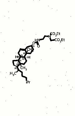 CCOC(=O)CN(CCNC(=O)O[C@H]1CC[C@@]2(C)C(=CC[C@H]3[C@@H]4CC[C@H]([C@H](C)CCCC(C)C)[C@@]4(C)CC[C@@H]32)C1)C(=O)OCC